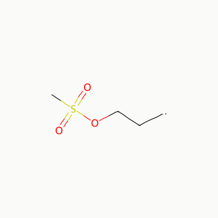 [CH2]CCOS(C)(=O)=O